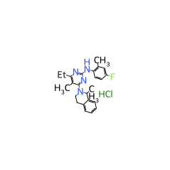 CCc1nc(Nc2ccc(F)cc2C)nc(N2CCc3ccccc3C2C)c1C.Cl